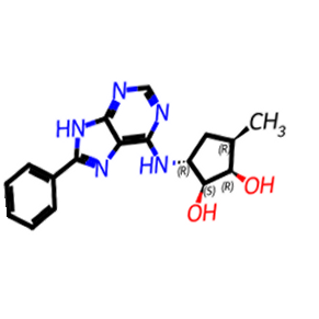 C[C@@H]1C[C@@H](Nc2ncnc3[nH]c(-c4ccccc4)nc23)[C@H](O)[C@@H]1O